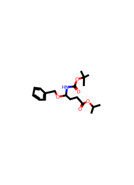 CC(C)OC(=O)CCC(NC(=O)OC(C)(C)C)OCc1ccccc1